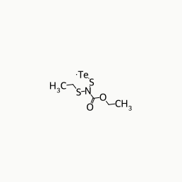 CCOC(=O)N(S[Te])SCC